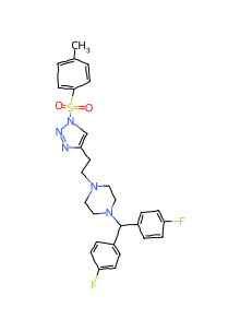 Cc1ccc(S(=O)(=O)n2cc(CCN3CCN(C(c4ccc(F)cc4)c4ccc(F)cc4)CC3)nn2)cc1